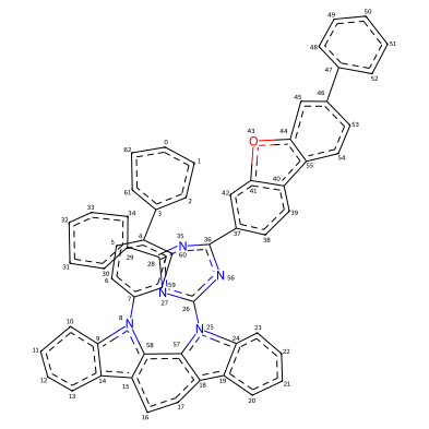 c1ccc(-c2ccc(-n3c4ccccc4c4ccc5c6ccccc6n(-c6nc(-c7ccccc7)nc(-c7ccc8c(c7)oc7cc(-c9ccccc9)ccc78)n6)c5c43)cc2)cc1